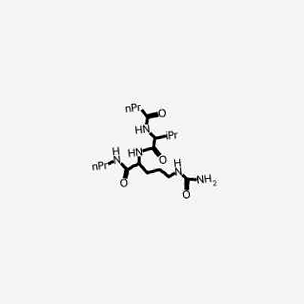 CCCNC(=O)C(CCCNC(N)=O)NC(=O)C(NC(=O)CCC)C(C)C